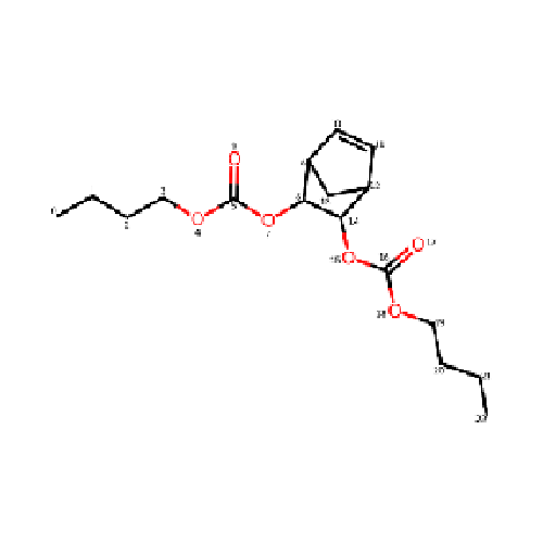 CCCCOC(=O)OC1C2C=CC(C2)C1OC(=O)OCCCC